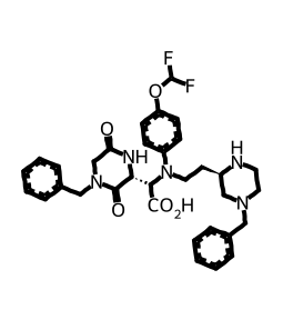 O=C1CN(Cc2ccccc2)C(=O)[C@@H](C(C(=O)O)N(CC[C@@H]2CN(Cc3ccccc3)CCN2)c2ccc(OC(F)F)cc2)N1